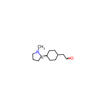 CN1CCC[C@@H]1C1CCC(CC=O)CC1